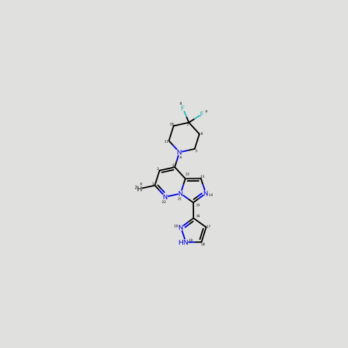 [2H]c1cc(N2CCC(F)(F)CC2)c2cnc(-c3cc[nH]n3)n2n1